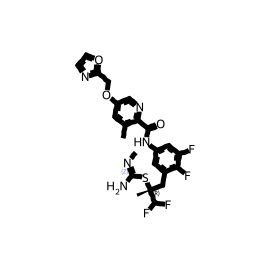 C/N=C(/N)S[C@](C)(Cc1cc(NC(=O)c2ncc(OCc3ncco3)cc2C)cc(F)c1F)C(F)F